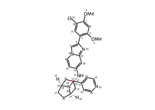 COc1cc(OC)c(-c2cn3ccc(N[C@@H]4C[C@H]5CC[C@@H](C4)N5Cc4ccncc4)cc3n2)cc1Cl